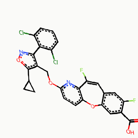 O=C(O)c1cc2c(cc1F)C=C(F)c1nc(OCc3c(-c4c(Cl)cccc4Cl)noc3C3CC3)ccc1O2